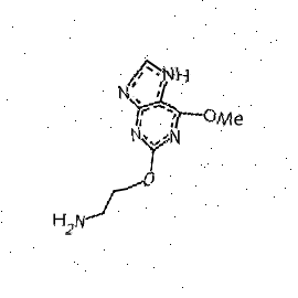 COc1nc(OCCN)nc2nc[nH]c12